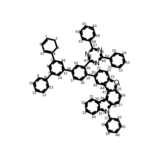 C1=CCCC(c2cc(-c3ccccc3)cc(-c3ccc(-c4ccc5oc6ccc7c(c8ccccc8n7-c7ccccc7)c6c5c4)c(-c4nc(-c5ccccc5)nc(-c5ccccc5)n4)c3)c2)=C1